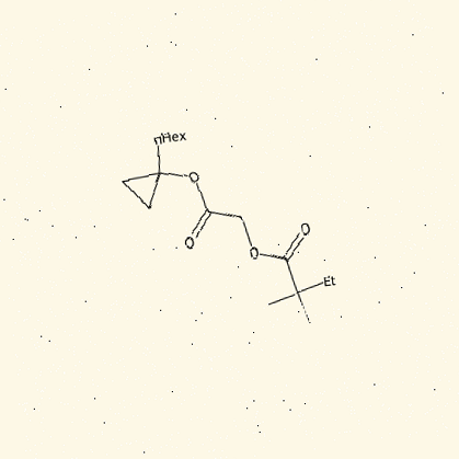 CCCCCCC1(OC(=O)COC(=O)C(C)(C)CC)CC1